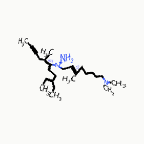 CC#CC/C(C)=C(\CCC(CC)CC)N(N)C/C=C(\C)CCCCCN(C)C